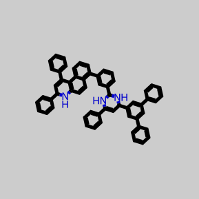 C1=C(c2ccccc2)NC(c2cccc(-c3cccc4c5c(ccc34)NC(c3ccccc3)C=C5c3ccccc3)c2)NC1c1cc(-c2ccccc2)cc(-c2ccccc2)c1